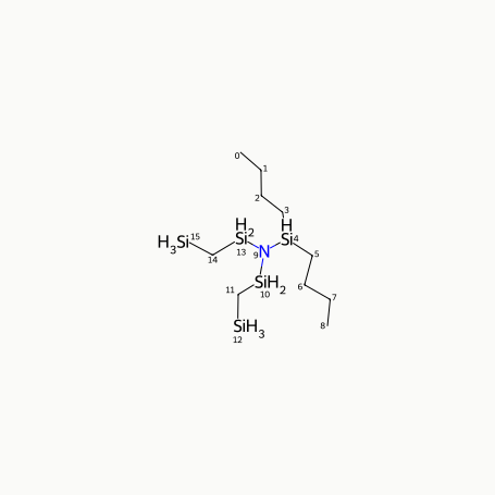 CCCC[SiH](CCCC)N([SiH2]C[SiH3])[SiH2]C[SiH3]